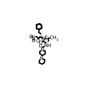 CC(C)C[C@H](NC(=O)N1CCC(N2CCCCC2)CC1)C(=O)N[C@@H](CCc1ccccc1)C(=O)C[N+](=O)[O-]